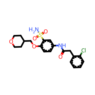 NS(=O)(=O)c1cc(NC(=O)Cc2ccccc2Cl)ccc1OCC1CCOCC1